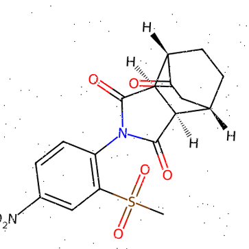 CS(=O)(=O)c1cc([N+](=O)[O-])ccc1N1C(=O)[C@@H]2[C@H]3CC[C@H](C(=O)C3)[C@@H]2C1=O